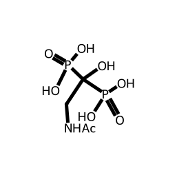 CC(=O)NCC(O)(P(=O)(O)O)P(=O)(O)O